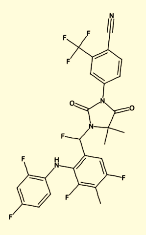 Cc1c(F)cc(C(F)N2C(=O)N(c3ccc(C#N)c(C(F)(F)F)c3)C(=O)C2(C)C)c(Nc2ccc(F)cc2F)c1F